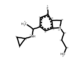 CC(NC1CC1)c1cc(F)c2c(c1)N(CCCO)C2